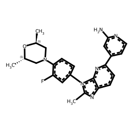 Cc1nc2ccc(-c3ccnc(N)c3)nc2n1-c1ccc(N2C[C@H](C)O[C@@H](C)C2)c(F)c1